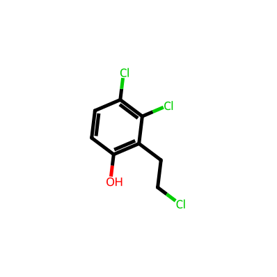 Oc1ccc(Cl)c(Cl)c1CCCl